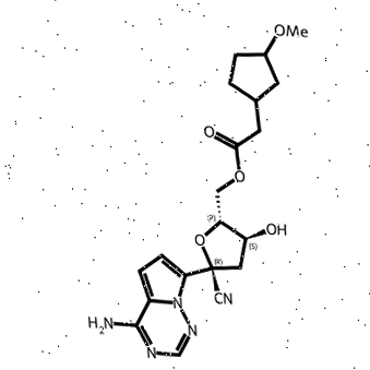 COC1CCC(CC(=O)OC[C@H]2O[C@@](C#N)(c3ccc4c(N)ncnn34)C[C@@H]2O)C1